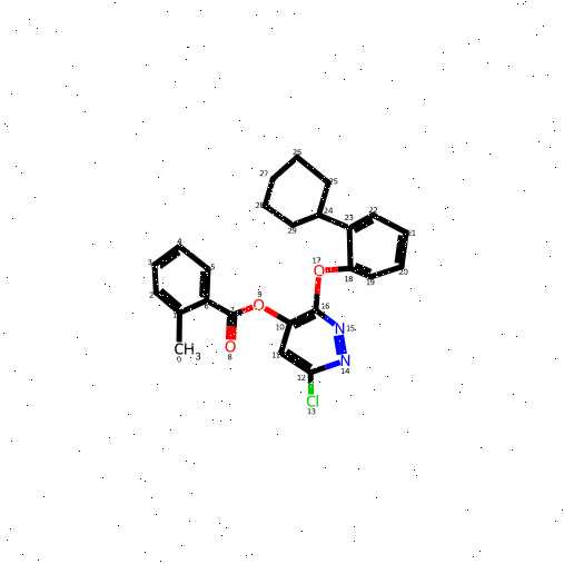 Cc1ccccc1C(=O)Oc1cc(Cl)nnc1Oc1ccccc1C1CCCCC1